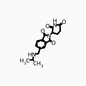 CC(C)NCc1ccc2c(c1)C(=O)N(C1CCC(=O)NC1=O)C2=O